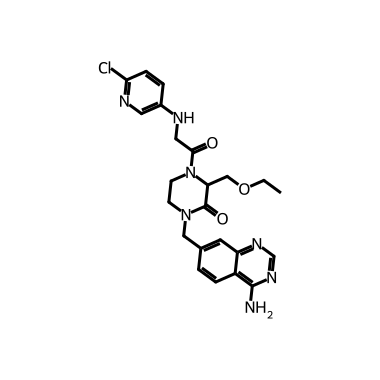 CCOCC1C(=O)N(Cc2ccc3c(N)ncnc3c2)CCN1C(=O)CNc1ccc(Cl)nc1